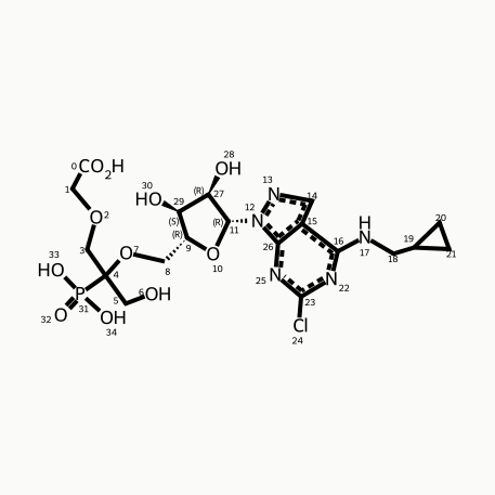 O=C(O)COCC(CO)(OC[C@H]1O[C@@H](n2ncc3c(NCC4CC4)nc(Cl)nc32)[C@H](O)[C@@H]1O)P(=O)(O)O